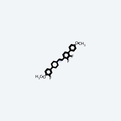 COc1ccc(-c2ccc(/C=C/C3CCC(c4ccc(OC)c(F)c4)CC3)c(F)c2F)cc1